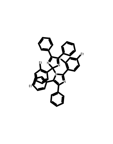 CCc1ccc(-c2nc(-c3ccccc3)c(-c3ccccc3)n2C2(c3ccc(CC)cc3CC)N=C(c3ccccc3)C(c3ccccc3)=N2)c(CC)c1